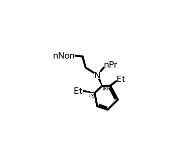 CCCCCCCCCCCN(CCC)[C@H]1C(CC)=CC=C[C@H]1CC